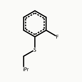 CC(C)CSc1ccccc1F